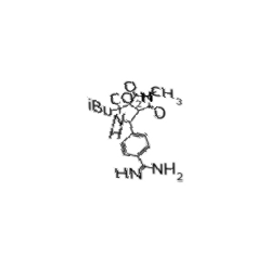 CCC(C)C1(C(=O)O)NC(c2ccc(C(=N)N)cc2)C2C(=O)N(C)C(=O)C21